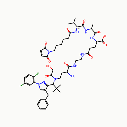 CC(NC(=O)[C@@H](NC(=O)CCCCCN1C(=O)C=CC1=O)C(C)C)C(=O)NC(CCC(=O)NCCNC(=O)C(N)CCN(C(=O)CO)C(c1nn(-c2cc(F)ccc2F)cc1Cc1ccccc1)C(C)(C)C)C(=O)O